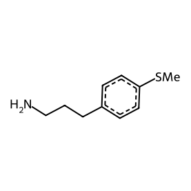 CSc1ccc(CCCN)cc1